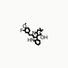 COc1ccc(Cc2nc3c(c4c2[nH]c2ccccc24)[C@H](O)CC(C)(C)C3)cc1F